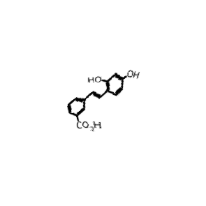 O=C(O)c1cccc(C=Cc2ccc(O)cc2O)c1